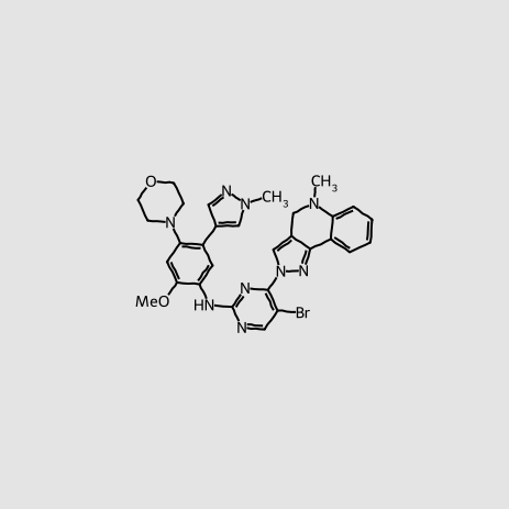 COc1cc(N2CCOCC2)c(-c2cnn(C)c2)cc1Nc1ncc(Br)c(-n2cc3c(n2)-c2ccccc2N(C)C3)n1